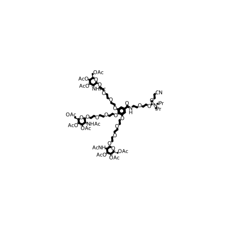 CC(=O)N[C@H]1[C@H](OCCOCCOCCOc2cc(C(=O)NCCOCCOP(OCCC#N)N(C(C)C)C(C)C)cc(OCCOCCOCCO[C@@H]3O[C@H](COC(C)=O)[C@H](OC(C)=O)[C@H](OC(C)=O)[C@H]3NC(C)=O)c2OCCOCCOCCO[C@@H]2O[C@H](COC(C)=O)[C@H](OC(C)=O)[C@H](OC(C)=O)[C@H]2NC(C)=O)O[C@H](COC(C)=O)[C@H](OC(C)=O)[C@@H]1OC(C)=O